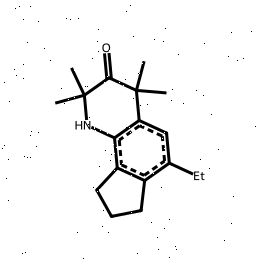 CCc1cc2c(c3c1CCC3)NC(C)(C)C(=O)C2(C)C